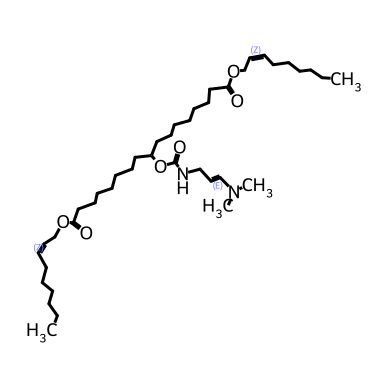 CCCCCC/C=C\COC(=O)CCCCCCCC(CCCCCCCC(=O)OC/C=C\CCCCCC)OC(=O)NC/C=C/N(C)C